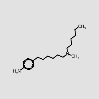 CCCCCCN(C)CCCCCCc1ccc(N)cc1